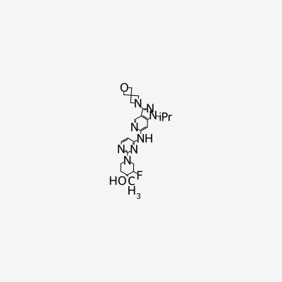 CC(C)n1nc(N2CC3(COC3)C2)c2cnc(Nc3ccnc(N4CCC(C)(O)C(F)C4)n3)cc21